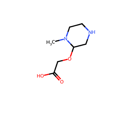 CN1CCNCC1OCC(=O)O